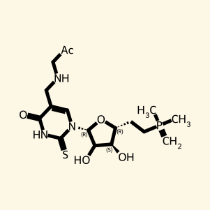 C=P(C)(C)CC[C@H]1O[C@@H](n2cc(CNCC(C)=O)c(=O)[nH]c2=S)C(O)[C@@H]1O